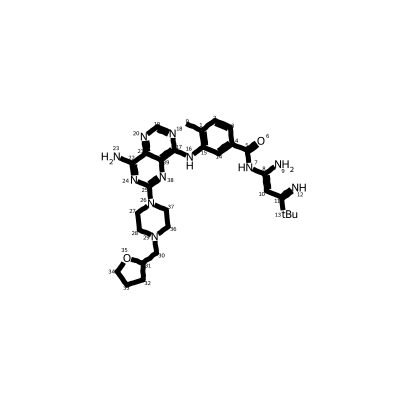 Cc1ccc(C(=O)N/C(N)=C/C(=N)C(C)(C)C)cc1Nc1ncnc2c(N)nc(N3CCN(CC4CCCO4)CC3)nc12